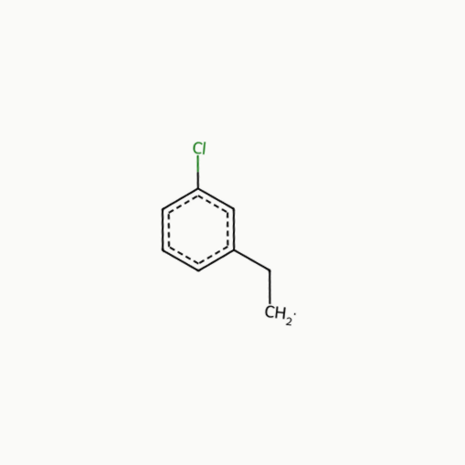 [CH2]Cc1cccc(Cl)c1